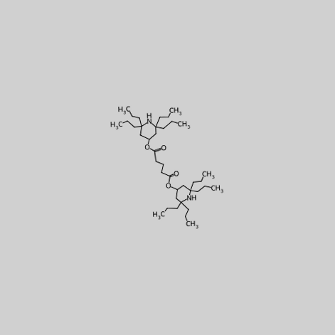 CCCC1(CCC)CC(OC(=O)CCCC(=O)OC2CC(CCC)(CCC)NC(CCC)(CCC)C2)CC(CCC)(CCC)N1